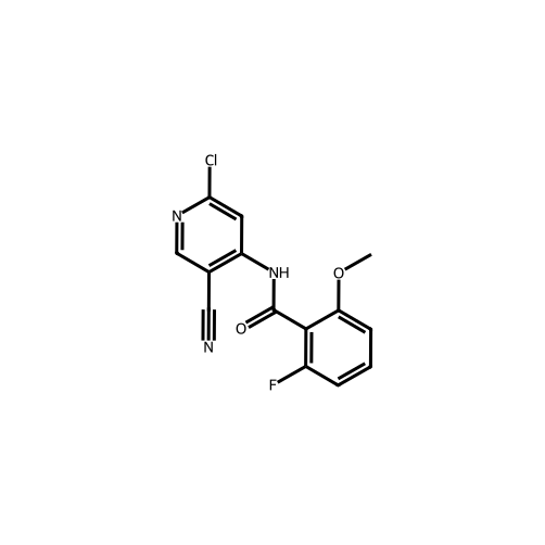 COc1cccc(F)c1C(=O)Nc1cc(Cl)ncc1C#N